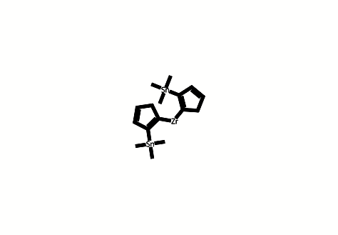 [CH3][Sn]([CH3])([CH3])[C]1=[C]([Zr][C]2=[C]([Sn]([CH3])([CH3])[CH3])C=CC2)CC=C1